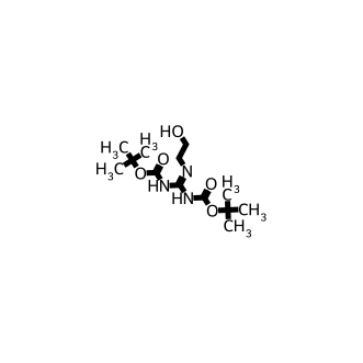 CC(C)(C)OC(=O)NC(=NCCO)NC(=O)OC(C)(C)C